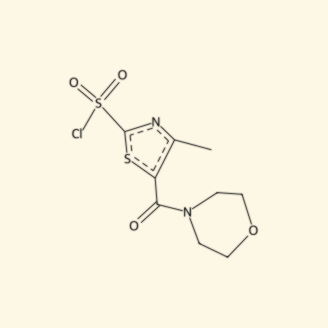 Cc1nc(S(=O)(=O)Cl)sc1C(=O)N1CCOCC1